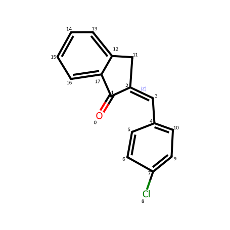 O=C1/C(=C\c2ccc(Cl)cc2)Cc2ccccc21